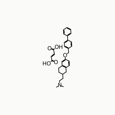 CN(C)CCC1CCc2cc(OCc3ccc(-c4ccccc4)cc3)ccc2C1.O=C(O)/C=C/C(=O)O